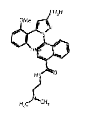 COc1cccc(OC)c1-c1cc(C(=O)O)nn1-c1ccc(C(=O)NCCN(C)C)c2ccccc12